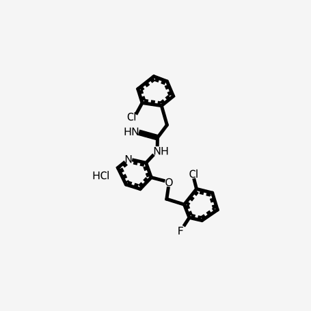 Cl.N=C(Cc1ccccc1Cl)Nc1ncccc1OCc1c(F)cccc1Cl